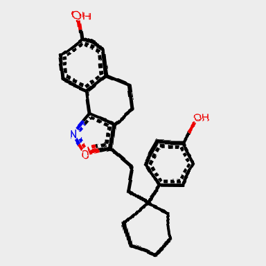 Oc1ccc(C2(CCc3onc4c3CCc3cc(O)ccc3-4)CCCCC2)cc1